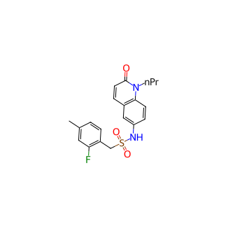 CCCn1c(=O)ccc2cc(NS(=O)(=O)Cc3ccc(C)cc3F)ccc21